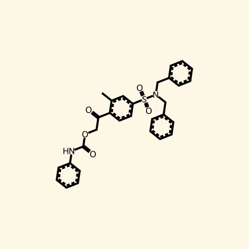 Cc1cc(S(=O)(=O)N(Cc2ccccc2)Cc2ccccc2)ccc1C(=O)COC(=O)Nc1ccccc1